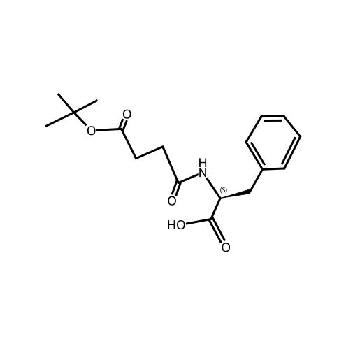 CC(C)(C)OC(=O)CCC(=O)N[C@@H](Cc1ccccc1)C(=O)O